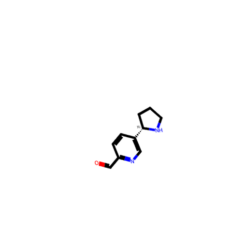 O=Cc1ccc([C@@H]2CCCN2)cn1